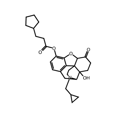 O=C(CCC1CCCC1)Oc1ccc2c3c1OC1C(=O)CCC4(O)C(C2)N(CC2CC2)CCC314